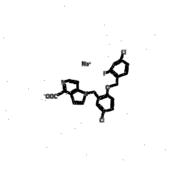 O=C([O-])c1nccc2c1ccn2Cc1cc(Cl)ccc1OCc1ccc(Cl)cc1F.[Na+]